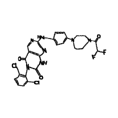 O=C(C(F)F)N1CCN(c2ccc(Nc3ncc4c(=O)n(-c5c(Cl)cccc5Cl)c(=O)[nH]c4n3)cc2)CC1